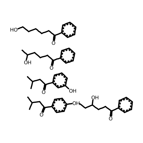 CC(C)CC(=O)c1ccc(O)cc1.CC(C)CC(=O)c1cccc(O)c1.CC(O)CCCC(=O)c1ccccc1.CCC(O)CCC(=O)c1ccccc1.O=C(CCCCCO)c1ccccc1